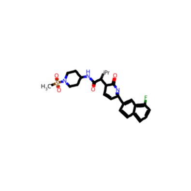 CC(C)C(C(=O)NC1CCN(S(C)(=O)=O)CC1)C1C=CC(c2ccc3cccc(F)c3c2)=NC1=O